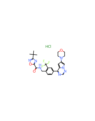 CC(C)(C)c1noc(C(=O)NCc2ccc(-c3ncnn4cc(N5CCOCC5)cc34)cc2C(F)(F)F)n1.Cl